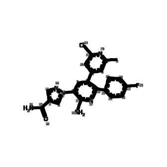 Cc1cc(-c2cc(-n3cc(C(N)=O)cn3)c(N)nc2-c2ccc(F)cc2)cc(Cl)n1